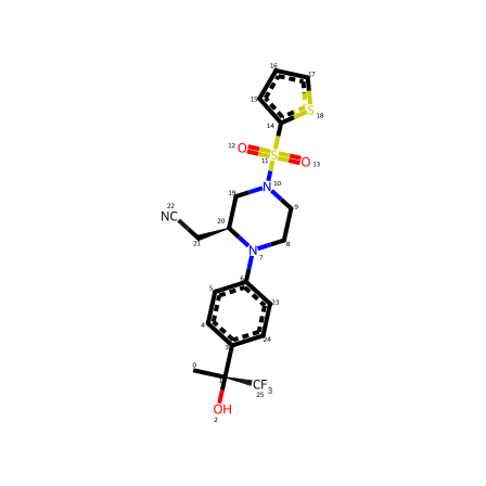 C[C@@](O)(c1ccc(N2CCN(S(=O)(=O)c3cccs3)C[C@@H]2CC#N)cc1)C(F)(F)F